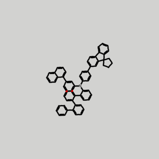 c1ccc(-c2ccccc2-c2ccccc2-c2ccccc2N(c2ccc(-c3ccc4c(c3)C3(CCCC3)c3ccccc3-4)cc2)c2cccc(-c3cccc4ccccc34)c2)cc1